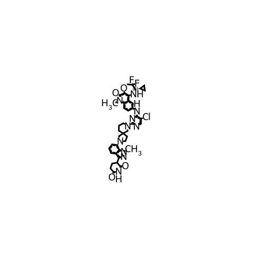 Cn1nc(C2CCC(=O)NC2=O)c2cccc(N3CCC4(CCCN(c5ncc(Cl)c(Nc6ccc7c(c6)c6c(c(=O)n7C)OCC(F)(F)[C@H](C7CC7)N6)n5)C4)C3)c21